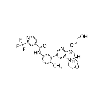 Cc1ccc(NC(=O)c2ccnc(C(F)(F)F)c2)cc1-c1cnc2c(c1)N1CCOC[C@H]1C[C@H]2OCCO